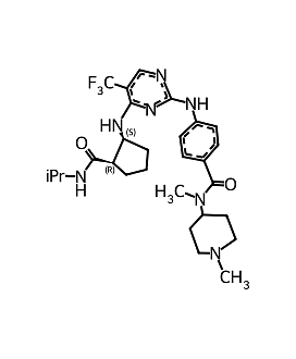 CC(C)NC(=O)[C@@H]1CCC[C@@H]1Nc1nc(Nc2ccc(C(=O)N(C)C3CCN(C)CC3)cc2)ncc1C(F)(F)F